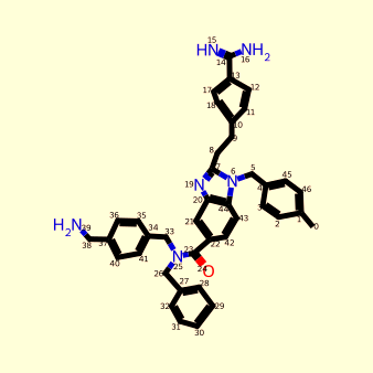 Cc1ccc(Cn2c(CCc3ccc(C(=N)N)cc3)nc3cc(C(=O)N(Cc4ccccc4)Cc4ccc(CN)cc4)ccc32)cc1